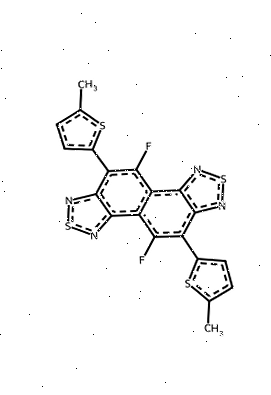 Cc1ccc(-c2c(F)c3c4nsnc4c(-c4ccc(C)s4)c(F)c3c3nsnc23)s1